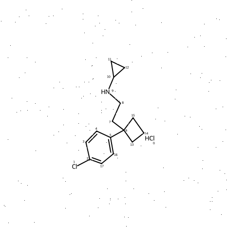 Cl.Clc1ccc(C2(CCNC3CC3)CCC2)cc1